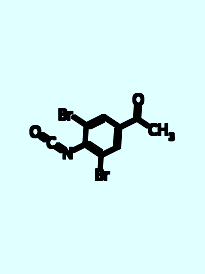 CC(=O)c1cc(Br)c(N=C=O)c(Br)c1